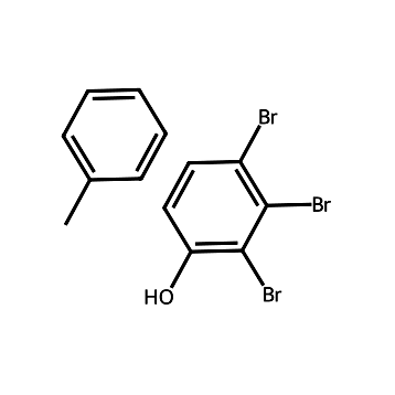 Cc1ccccc1.Oc1ccc(Br)c(Br)c1Br